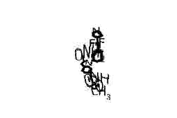 CS(=O)(=O)Nc1ccc2cc(C(N)=O)n(-c3cccc(C(F)(F)c4ccncc4)c3)c2c1